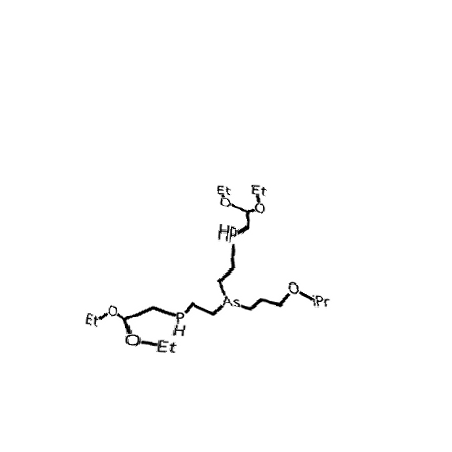 CCOC(CPCC[As](CCCOC(C)C)CCPCC(OCC)OCC)OCC